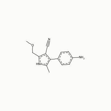 COCc1[nH]c(C)c(-c2ccc(N)cc2)c1C#N